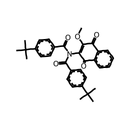 COC1=C(N(C(=O)c2ccc(C(C)(C)C)cc2)C(=O)c2ccc(C(C)(C)C)cc2)C(=O)c2ccccc2C1=O